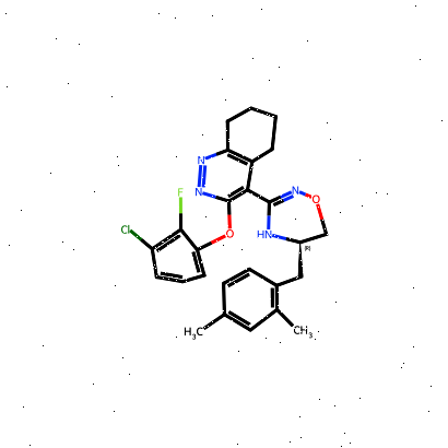 Cc1ccc(C[C@@H]2CON=C(c3c(Oc4cccc(Cl)c4F)nnc4c3CCCC4)N2)c(C)c1